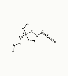 CCC[O][Zr]([CH2]C)([CH2]C)[CH2]CN=C=O